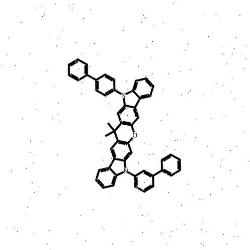 CC1(C)c2cc3c4ccccc4n(-c4cccc(-c5ccccc5)c4)c3cc2Oc2cc3c4ccccc4n(-c4ccc(-c5ccccc5)cc4)c3cc21